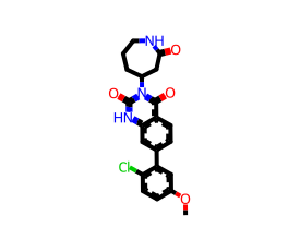 COc1ccc(Cl)c(-c2ccc3c(=O)n(C4CCCNC(=O)C4)c(=O)[nH]c3c2)c1